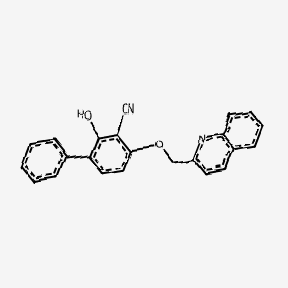 N#Cc1c(OCc2ccc3ccccc3n2)ccc(-c2ccccc2)c1O